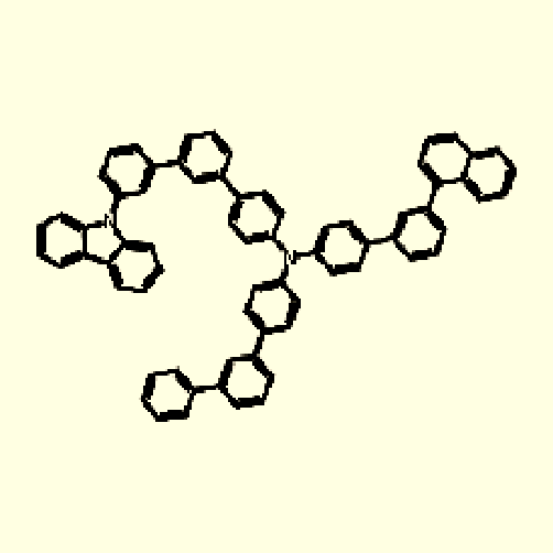 c1ccc(-c2cccc(-c3ccc(N(c4ccc(-c5cccc(-c6cccc(-n7c8ccccc8c8ccccc87)c6)c5)cc4)c4ccc(-c5cccc(-c6cccc7ccccc67)c5)cc4)cc3)c2)cc1